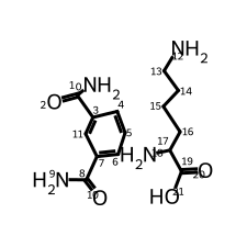 NC(=O)c1cccc(C(N)=O)c1.NCCCCC(N)C(=O)O